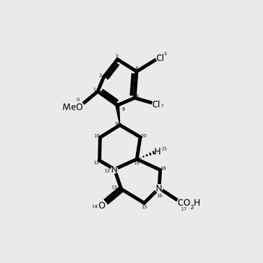 COc1ccc(Cl)c(Cl)c1[C@@H]1CCN2C(=O)CN(C(=O)O)C[C@@H]2C1